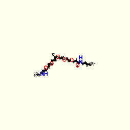 CC(C)/C=C/CNC(=O)CCOCCOCCO[C@@H](C)CCOCCOCCNC(C)C